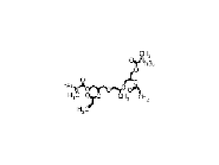 C=CC(=O)OC(COCC(C)OCC(COC(=O)N(C)CCCC)OC(=O)C=C)COC(=O)N(C)CCCC